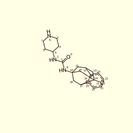 O=C(NC1CCNCC1)NC12CC3CC(Cl)(CC(C1)c1ccccc13)C2